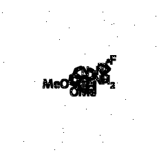 COc1cc2c(cc1OC)[C@@H]1C[C@H](N)[C@@H](N3C[C@H](CF)CC3=O)CN1CC2.Cl.Cl